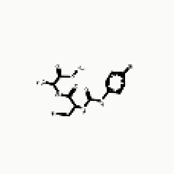 CC(C)CC(NC(=O)Nc1ccc(Br)cc1)C(=O)NC(C)C(=O)OC(C)(C)C